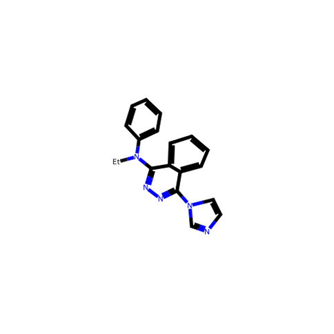 CCN(c1ccccc1)c1nnc(-n2ccnc2)c2ccccc12